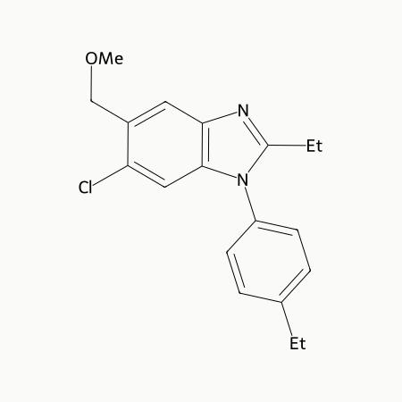 [CH2]Cc1ccc(-n2c(CC)nc3cc(COC)c(Cl)cc32)cc1